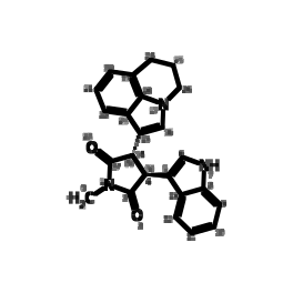 [CH2]N1C(=O)[C@H](c2c[nH]c3ccccc23)[C@@H](c2cn3c4c(cccc24)CCC3)C1=O